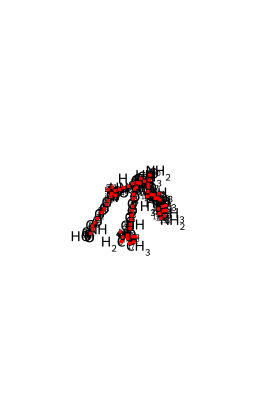 C=Cc1ccccc1N(Cc1ccccc1CC)C(=O)CCC(=O)NCCOCCOCCOCCOCCC(=O)N[C@H](CCCCNC(=O)COC1CCCCCc2c1nnn2CCOCCOCCOCCOCCC(=O)NCCS(=O)(=O)O)C(=O)N[C@H](C(=O)N[C@@H](CCCNC(N)=O)C(=O)Nc1ccc2c(c1)[C@@]1(C)CCC[C@](C)(C(=O)NC(=O)[C@@]3(C)CCC[C@]4(C)c5cc(N)ccc5CC[C@@H]34)C1CC2)C(C)C